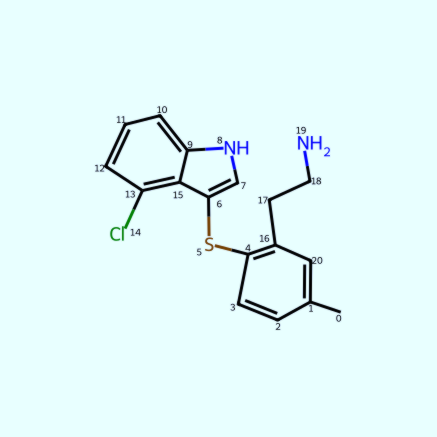 Cc1ccc(Sc2c[nH]c3cccc(Cl)c23)c(CCN)c1